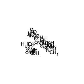 CCCOCCOCCOCCN(CC(C)(C)SSCCC(C(=O)NCCN1C(=O)C=CC1=O)S(=O)(=O)O)c1cc(COc2cc3c(cc2OC)C(=O)N2c4ccccc4C[C@H]2CN3)cc(COc2cc3c(cc2OC)C(=O)N2c4ccccc4C[C@H]2C(S(=O)(=O)O)N3)c1